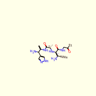 C=C(NC(=O)[C@H](C)N/C(C(=O)NCC(=O)CC)=C(\N)NC)C(N)c1cn[nH]c1